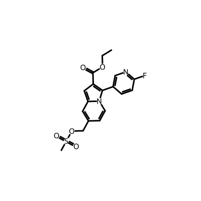 CCOC(=O)c1cc2cc(COS(C)(=O)=O)ccn2c1-c1ccc(F)nc1